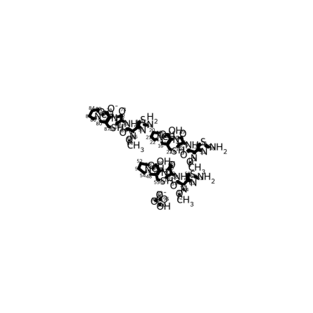 CO/N=C(\C(=O)NC1C(=O)N2C(C(=O)O)=C(C[N+]3(C)CCCC3)CS[C@@H]12)c1csc(N)n1.CO/N=C(\C(=O)NC1C(=O)N2C(C(=O)O)=C(C[N+]3(C)CCCC3)CS[C@@H]12)c1csc(N)n1.CO/N=C(\C(=O)NC1C(=O)N2C(C(=O)[O-])=C(C[N+]3(C)CCCC3)CS[C@@H]12)c1csc(N)n1.O=P([O-])([O-])O